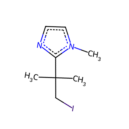 Cn1ccnc1C(C)(C)CI